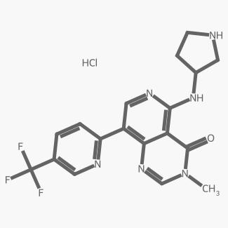 Cl.Cn1cnc2c(-c3ccc(C(F)(F)F)cn3)cnc(NC3CCNC3)c2c1=O